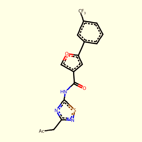 CC(=O)Cc1nsc(NC(=O)c2coc(-c3cccc(C(F)(F)F)c3)c2)n1